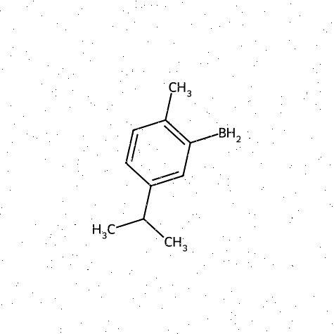 Bc1cc(C(C)C)ccc1C